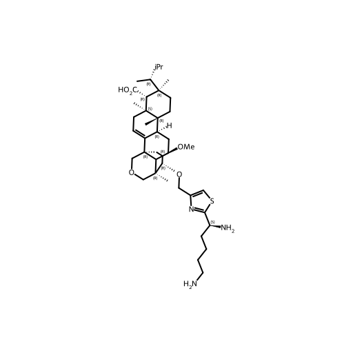 CO[C@@H]1C[C@@]23COC[C@@](C)(C2CC[C@H]2C3=CC[C@@]3(C)[C@H](C(=O)O)[C@@](C)([C@H](C)C(C)C)CC[C@]23C)[C@H]1OCc1csc([C@@H](N)CCCCN)n1